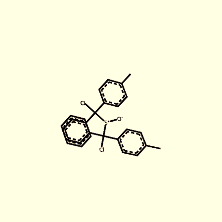 Cc1ccc(C(Cl)(c2ccccc2)[S+]([O-])C(Cl)(c2ccccc2)c2ccc(C)cc2)cc1